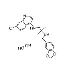 CC(C)(CNc1ccnc2cc(Cl)ccc12)NCc1ccc2c(c1)OCO2.Cl.Cl